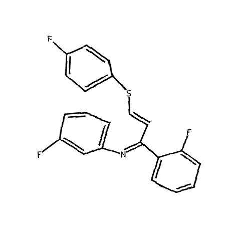 Fc1ccc(SC=CC(=Nc2cccc(F)c2)c2ccccc2F)cc1